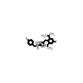 CC(C)c1cc(F)cc(C(C)C)c1Cc1nnc(S(=O)(=O)Cc2ccc(F)cc2)[nH]1